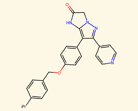 CC(C)c1ccc(COc2ccc(-c3c(-c4ccncc4)nn4c3NC(=O)C4)cc2)cc1